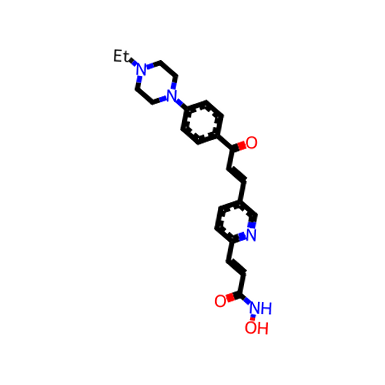 CCN1CCN(c2ccc(C(=O)/C=C/c3ccc(/C=C/C(=O)NO)nc3)cc2)CC1